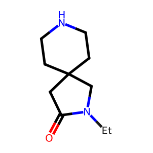 CCN1CC2(CCNCC2)CC1=O